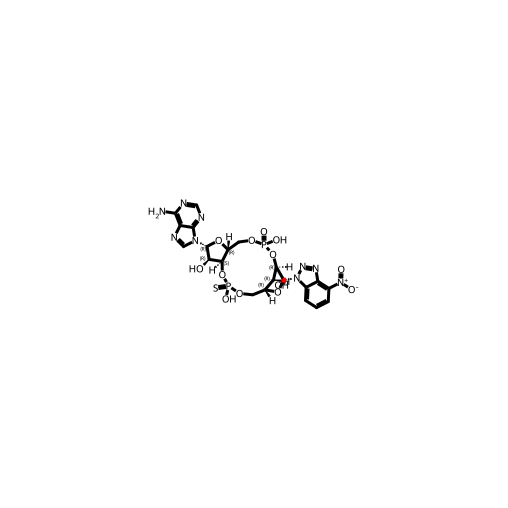 Nc1ncnc2c1ncn2[C@@H]1O[C@@H]2COP(=O)(O)O[C@@H]3[C@H](O)[C@@H](COP(O)(=S)O[C@H]2[C@H]1O)O[C@H]3n1nnc2c([N+](=O)[O-])cccc21